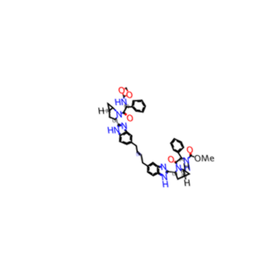 COC(=O)N[C@@H](C(=O)N1[C@@H]2C[C@@H]2C[C@H]1c1nc2cc(C/C=C/Cc3ccc4[nH]c([C@@H]5C[C@H]6CC6N5C(=O)[C@H](NC5OCO5)c5ccccc5)nc4c3)ccc2[nH]1)c1ccccc1